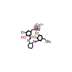 CC(=O)[O-].CC(=O)[O-].CCc1cc(CC(C)(C)C)cc(C=NC2CCCCC2N=Cc2cc(CC(C)(C)C)cc(CC)c2O)c1O.[Co+2]